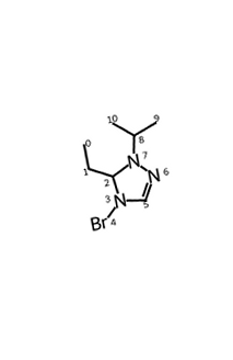 CCC1N(Br)C=NN1C(C)C